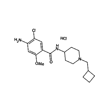 COc1cc(N)c(Cl)cc1C(=O)NC1CCN(CC2CCC2)CC1.Cl